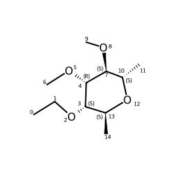 CCO[C@@H]1[C@H](OC)[C@@H](OC)[C@H](C)O[C@H]1C